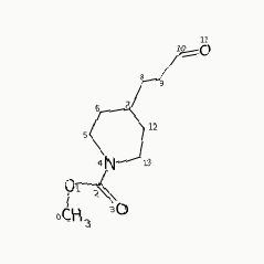 COC(=O)N1CCC(CCC=O)CC1